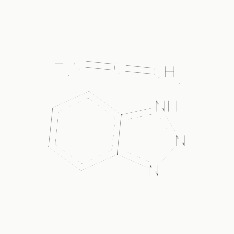 C=C=C.c1ccc2[nH]nnc2c1